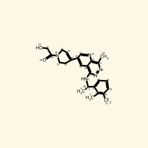 Cc1c([C@@H](C)Nc2nnc(C)c3ncc(C4=CCN(C(=O)CO)CC4)cc23)cccc1C(F)(F)F